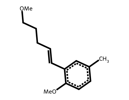 COCCC/C=C/c1cc(C)ccc1OC